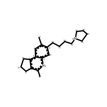 Cc1cc2c3c(c(C)nc2cc1CCCCN1CCCC1)CCC3